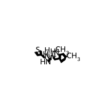 Cc1ccc(CNC(=N)NCc2ccsc2)c(N(C)C)c1